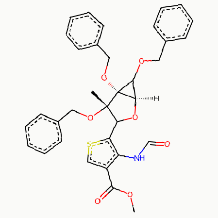 COC(=O)c1csc(C2O[C@@H]3C(OCc4ccccc4)[C@]3(OCc3ccccc3)[C@@]2(C)OCc2ccccc2)c1NC=O